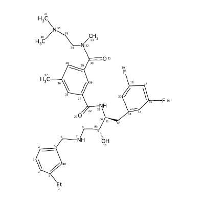 CCc1cccc(CNC[C@@H](O)[C@H](Cc2cc(F)cc(F)c2)NC(=O)c2cc(C)cc(C(=O)N(C)CCN(C)C)c2)c1